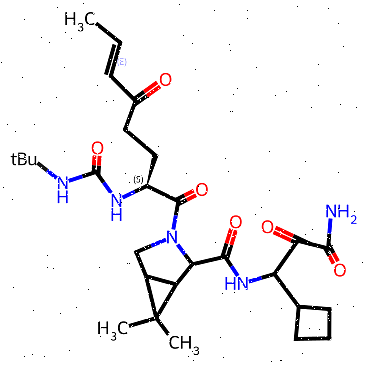 C/C=C/C(=O)CC[C@H](NC(=O)NC(C)(C)C)C(=O)N1CC2C(C1C(=O)NC(C(=O)C(N)=O)C1CCC1)C2(C)C